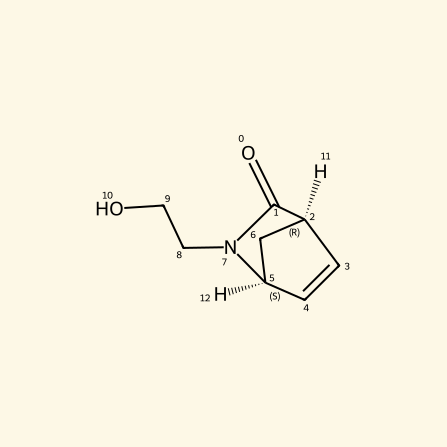 O=C1[C@H]2C=C[C@H](C2)N1CCO